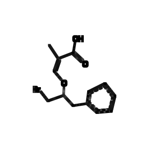 CC(=COC(CBr)Cc1ccccc1)C(=O)O